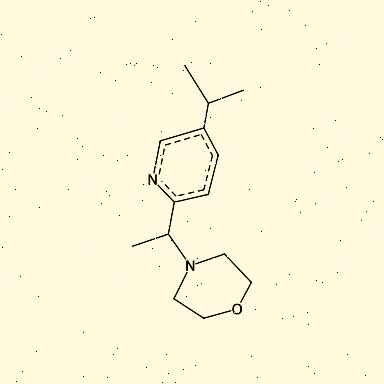 CC(C)c1ccc(C(C)N2CCOCC2)nc1